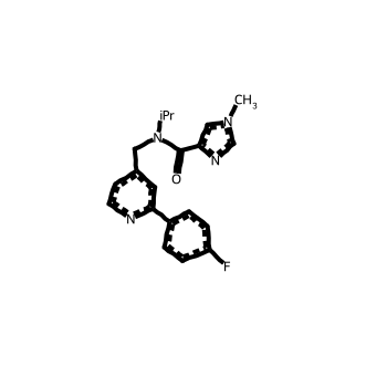 CC(C)N(Cc1ccnc(-c2ccc(F)cc2)c1)C(=O)c1cn(C)cn1